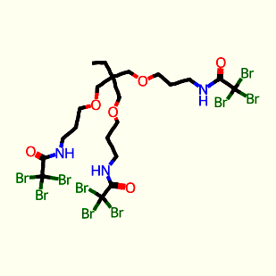 CCC(COCCCNC(=O)C(Br)(Br)Br)(COCCCNC(=O)C(Br)(Br)Br)COCCCNC(=O)C(Br)(Br)Br